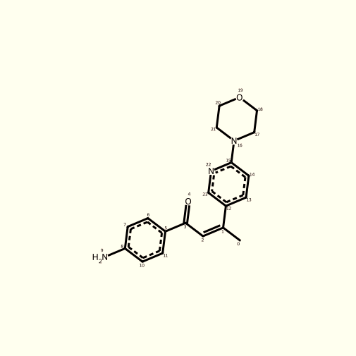 CC(=CC(=O)c1ccc(N)cc1)c1ccc(N2CCOCC2)nc1